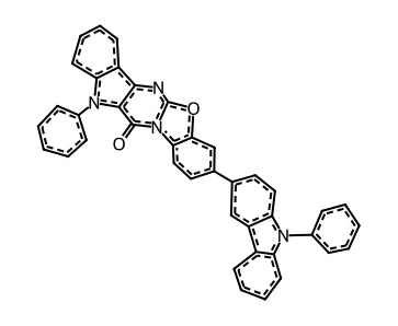 O=c1c2c(nc3oc4cc(-c5ccc6c(c5)c5ccccc5n6-c5ccccc5)ccc4n13)c1ccccc1n2-c1ccccc1